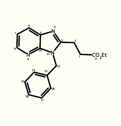 CCOC(=O)CCc1nc2cccnc2n1Cc1ccccc1